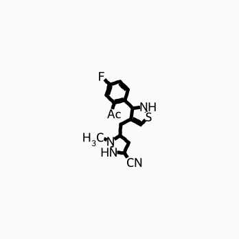 CC(=O)c1cc(F)ccc1C1NSC=C1CC1CC(C#N)NN1C